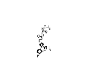 COC(=O)COC(=O)CPc1cc(-c2ccc(F)cc2F)n(C)n1